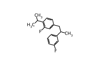 CC(C)c1ccc(CC(C)c2cccc(F)c2)cc1F